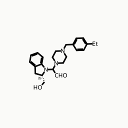 CCc1ccc(CN2CCN(C(C=O)N3c4ccccc4C[C@H]3CO)CC2)cc1